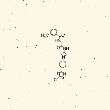 Cc1cccc(C(=O)NCC(=O)NC2CN([C@H]3CC[C@@H](c4nsc(Cl)n4)CC3)C2)c1